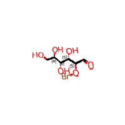 O=C[C@@H](OBr)[C@@H](O)[C@H](O)[C@H](O)CO